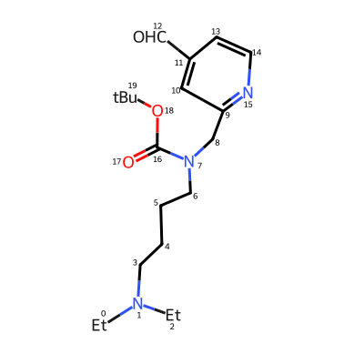 CCN(CC)CCCCN(Cc1cc(C=O)ccn1)C(=O)OC(C)(C)C